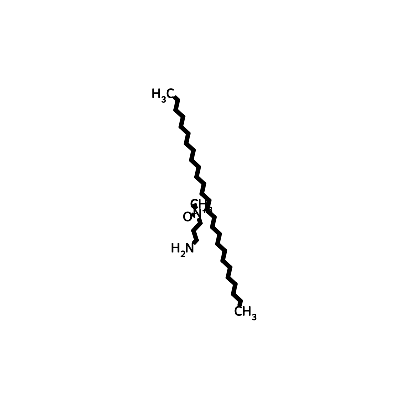 CCCCCCCCCCCCCCC(CCCCCCCCCCCC)[N+](C)([O-])CCCN